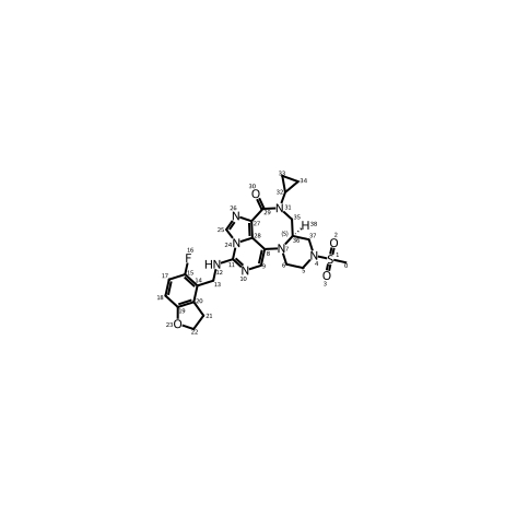 CS(=O)(=O)N1CCN2c3cnc(NCc4c(F)ccc5c4CCO5)n4cnc(c34)C(=O)N(C3CC3)C[C@H]2C1